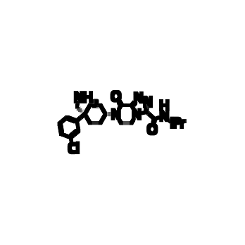 CC(C)NC(=O)c1nnc2n1CCN([C@H]1CC[C@](CN)(c3cccc(Cl)c3)CC1)C2=O